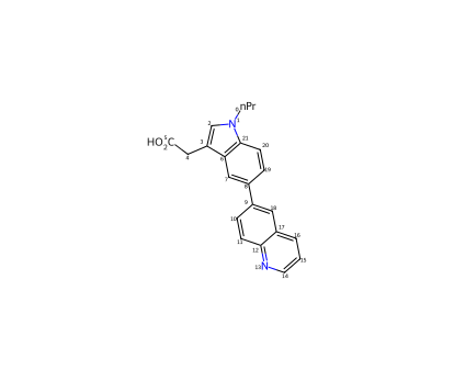 CCCn1cc(CC(=O)O)c2cc(-c3ccc4ncccc4c3)ccc21